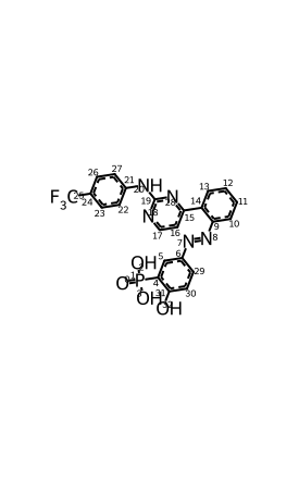 O=P(O)(O)c1cc(N=Nc2ccccc2-c2ccnc(Nc3ccc(C(F)(F)F)cc3)n2)ccc1O